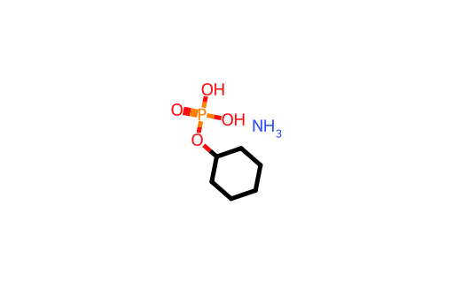 N.O=P(O)(O)OC1CCCCC1